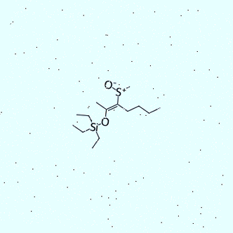 CCCC/C(=C(/C)O[Si](CC)(CC)CC)[S+](C)[O-]